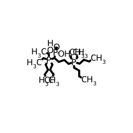 CCCCP(CC)(CC)(CCCC)CCCC(P(=O)(O)O)P(CC)(CC)(CCCC)CCCC